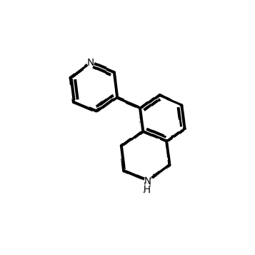 c1cncc(-c2cccc3c2CCNC3)c1